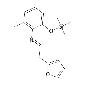 Cc1cccc(O[Si](C)(C)C)c1N=CCc1ccco1